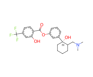 CN(C)CC1CCCC[C@@]1(O)c1cccc(OC(=O)c2ccc(C(F)(F)F)cc2O)c1